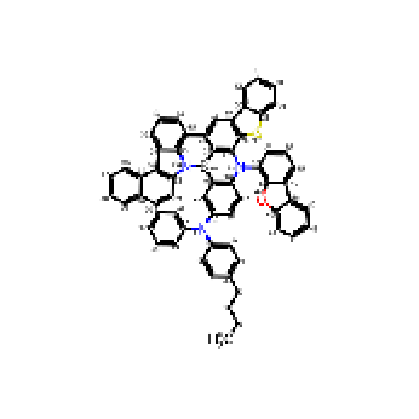 CCCCc1ccc(N(c2ccccc2)c2ccc3c(c2)B2c4c(cc5c(sc6ccccc65)c4N3c3cccc4c3oc3ccccc34)-c3cccc4c5c6ccccc6ccc5n2c34)cc1